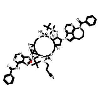 CC(C)(C)[Si](C)(C)O[C@@H]1[C@@H]2OP(=O)(S)OC[C@H]3O[C@@H](n4cnc5c(NC(=O)c6ccccc6)ncnc54)[C@H](OP(=S)(OCCC#N)OC[C@H]2C[C@H]1n1cc2c4c(ncnc41)N(C(=O)c1ccccc1)CCC2)[C@@H]3O[Si](C)(C)C(C)(C)C